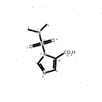 CN(C)S(=O)(=O)n1cncc1C(=O)O